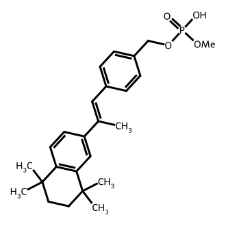 COP(=O)(O)OCc1ccc(C=C(C)c2ccc3c(c2)C(C)(C)CCC3(C)C)cc1